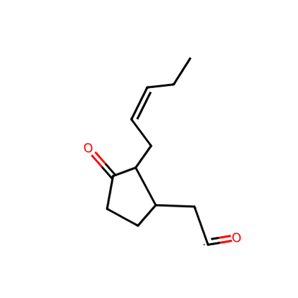 CC/C=C\CC1C(=O)CCC1C[C]=O